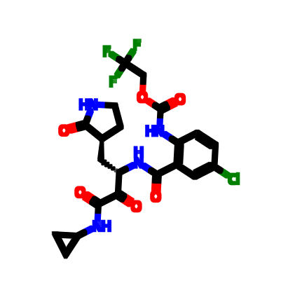 O=C(Nc1ccc(Cl)cc1C(=O)N[C@@H](C[C@@H]1CCNC1=O)C(=O)C(=O)NC1CC1)OCC(F)(F)F